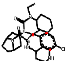 CCN(C(=O)N(CC)C1CC2CCC(C1)N2C(=O)[C@@H](Cc1ccc(Cl)cc1)NC1CCNCC1)C1CCCCC1